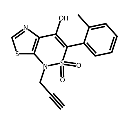 C#CCN1c2scnc2C(O)=C(c2ccccc2C)S1(=O)=O